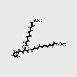 CCCCCCCCC=CCCCCCCCCOCC(CCN1CCCC1)OCCCCCCCCC=CCCCCCCCC